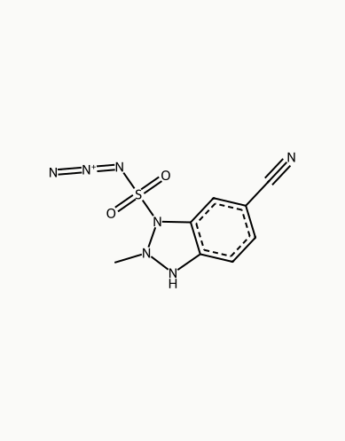 CN1Nc2ccc(C#N)cc2N1S(=O)(=O)N=[N+]=[N-]